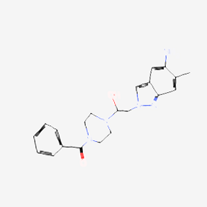 Cc1cc2nn(CC(O)N3CCN(C(=O)c4ccccc4)CC3)cc2cc1N